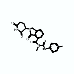 Cc1ccc(NC(=O)N(C)C(=O)c2cccc3c2C(=O)N(C2CCC(=O)NC2=O)C3)cc1